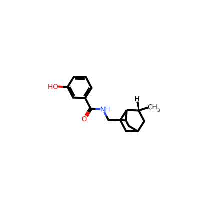 C[C@@H]1CC2CCC1C(CNC(=O)c1cccc(O)c1)C2